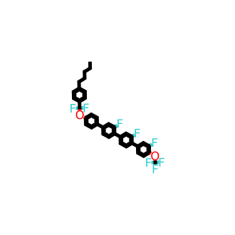 CCCCCc1ccc(C(F)(F)Oc2ccc(-c3ccc(-c4ccc(-c5ccc(OC(F)(F)F)c(F)c5)c(F)c4)c(F)c3)cc2)cc1